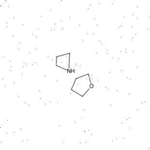 C1CCOC1.C1CNC1